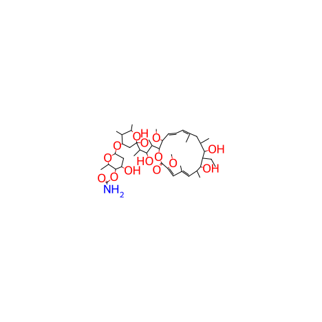 CCC1C(O)C(C)/C=C(C)/C=C(\OC)C(=O)OC(C(C)C(O)C(C)C2(O)CC(OC3CC(O)C(OC(N)=O)C(C)O3)C(C)C(C)O2)C(OC)/C=C/C=C(\C)CC(C)C1O